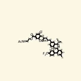 COc1cc(C(=O)OCCNC(C)=O)cc(Cl)c1OC(=O)CCCc1ccc(NC(=O)c2ccc(C)nc2-c2ccc(C(F)(F)F)cc2)c(C(=O)N(C)C)c1